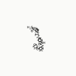 CNC(=O)c1cn(CC(F)CCc2ccc(NC(=O)Cc3cc(OC4CCOCC4)ccn3)nn2)nn1